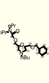 CCCCN1CC(COCC(=O)N(CCC)CCC)OC(COCc2ccccc2)C1